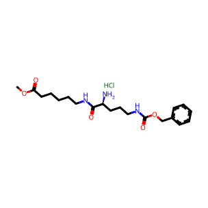 COC(=O)CCCCCNC(=O)[C@@H](N)CCCNC(=O)OCc1ccccc1.Cl